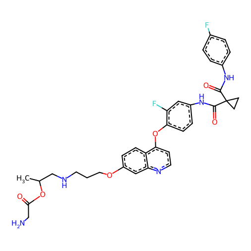 CC(CNCCCOc1ccc2c(Oc3ccc(NC(=O)C4(C(=O)Nc5ccc(F)cc5)CC4)cc3F)ccnc2c1)OC(=O)CN